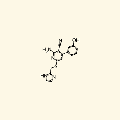 N#Cc1c(-c2cccc(O)c2)cc(SCc2ncc[nH]2)nc1N